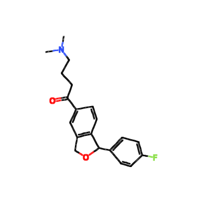 CN(C)CCCC(=O)c1ccc2c(c1)COC2c1ccc(F)cc1